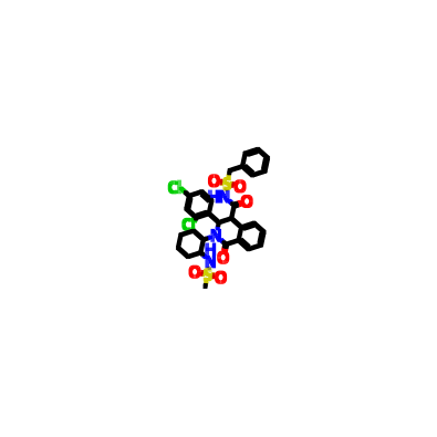 CS(=O)(=O)NC1CCCCC1N1C(=O)c2ccccc2C(C(=O)NS(=O)(=O)Cc2ccccc2)C1c1ccc(Cl)cc1Cl